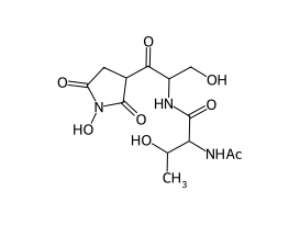 CC(=O)NC(C(=O)NC(CO)C(=O)C1CC(=O)N(O)C1=O)C(C)O